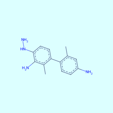 Cc1cc(N)ccc1-c1ccc(NN)c(N)c1C